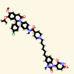 COc1cc2c(cc1OC(C)C)C(c1ccc(Cl)cc1)N(c1ccc(N(C)C(=O)C3CCN(CCCCCCc4ccc5c(c4)n(C)c(=O)n5C4CCC(=O)NC4=O)CC3)cc1)C(=O)C2